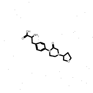 NC(Cc1ccc(N2CCN(C3CCOC3)CC2=O)cc1)C(=O)O